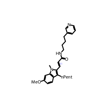 CCCCCc1c(/C=C/C(=O)NCCCCc2cccnc2)n(C)c2cc(OC)ccc12